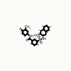 Cc1cc(NC(=O)c2cccc(S(=O)(=O)N[C@H]3Cc4ccccc4C[C@H]3O)c2)ccc1F